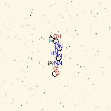 CC(C)n1c(COC2CCCCO2)nc2cnc(Nc3ccnc(N4CC[C@@](O)(C5CC5)[C@H](F)C4)n3)cc21